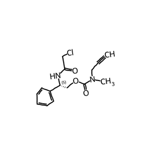 C#CCN(C)C(=O)OC[C@@H](NC(=O)CCl)c1ccccc1